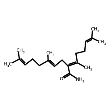 CC(C)=CCC/C(C)=C/C/C(C(N)=O)=C(/C)CCC=C(C)C